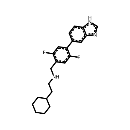 Fc1cc(-c2ccc3[nH]cnc3c2)c(F)cc1CNCCC1CCCCC1